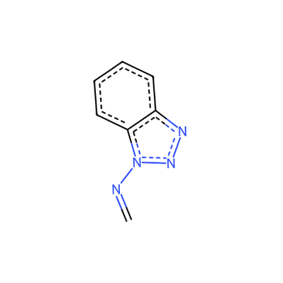 C=Nn1nnc2ccccc21